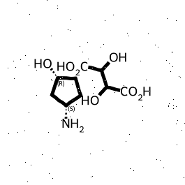 N[C@H]1CC[C@@H](O)C1.O=C(O)C(O)C(O)C(=O)O